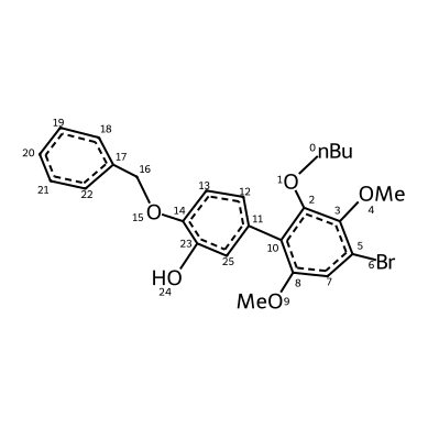 CCCCOc1c(OC)c(Br)cc(OC)c1-c1ccc(OCc2ccccc2)c(O)c1